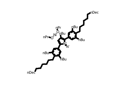 CCCCCCCCCCCCCCCCc1c(CCCC)cc(C2=CC(CCCC)=C(c3cc(CCCC)c(CCCCCCCCCCCCCCCC)c(CCCC)c3)[N+]2=[N-])cc1CCCC.CCC[O][Ni][O]CCC